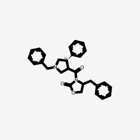 O=C1OCC(Cc2ccccc2)N1C(=O)C1CN(Cc2ccccc2)C[C@@H]1c1ccccc1